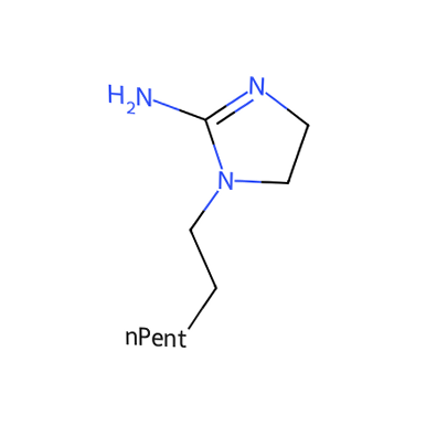 CCCCCCCN1CCN=C1N